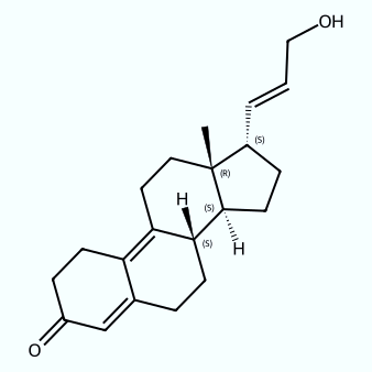 C[C@]12CCC3=C4CCC(=O)C=C4CC[C@H]3[C@@H]1CC[C@H]2C=CCO